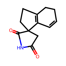 O=C1CC2(CCC3=C2C=CCC3)C(=O)N1